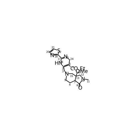 CCOC(=O)C1=C(CN2CCC3C(=O)N(C)CC3(OC)C2)NC(c2nccs2)=NC1